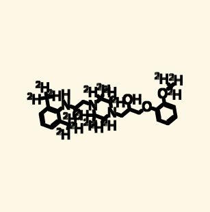 [2H]C([2H])([2H])Oc1ccccc1OCC(O)CN1C([2H])([2H])C([2H])([2H])N(CC(=O)Nc2c(C([2H])([2H])[2H])cccc2C([2H])([2H])[2H])C([2H])([2H])C1([2H])[2H]